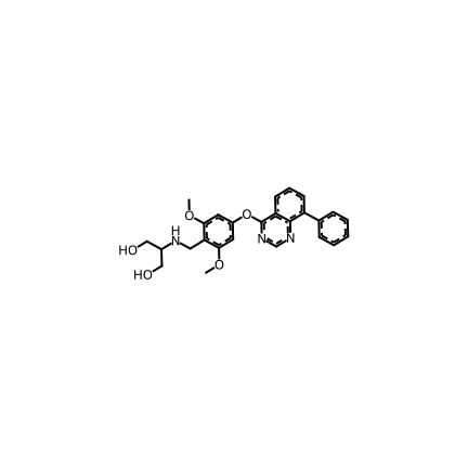 COc1cc(Oc2ncnc3c(-c4ccccc4)cccc23)cc(OC)c1CNC(CO)CO